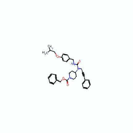 CC(C)COc1ccc(CNC(=O)N(CC#Cc2ccccc2)C2CCN(C(=O)OCc3ccccc3)CC2)cc1